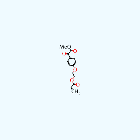 C=CC(=O)OCCOc1ccc(C(=O)C(=O)OC)cc1